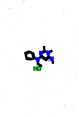 CCN(c1ccccc1)c1c/c(=N\C)n(C)c(C)n1.Cl